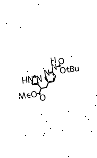 COC(=O)C(Cc1ccc(NC(=O)OC(C)(C)C)nc1)c1c[nH]cn1